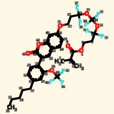 C=C(C)C(=O)OCCC(F)(F)OC(F)(F)OC(F)(F)CCOc1ccc2cc(-c3ccc(CCCCC)cc3OC(F)(F)F)c(=O)oc2c1